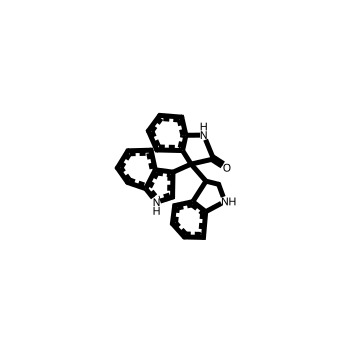 O=C1Nc2ccccc2C1(c1c[nH]c2ccccc12)C1CNc2ccccc21